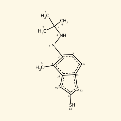 Cc1c(SNC(C)(C)C)ccc2sc(S)nc12